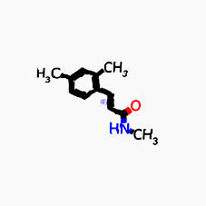 CNC(=O)/C=C/c1ccc(C)cc1C